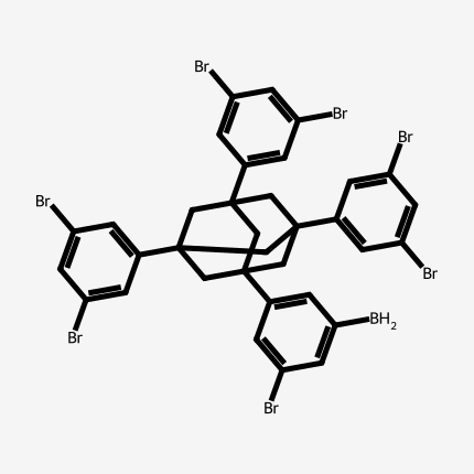 Bc1cc(Br)cc(C23CC4(c5cc(Br)cc(Br)c5)CC(c5cc(Br)cc(Br)c5)(C2)CC(c2cc(Br)cc(Br)c2)(C3)C4)c1